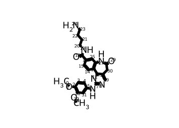 COc1ccc(Nc2ncc3c(n2)-c2ccc(C(=O)NCCCCN)cc2NC(=O)C3)cc1OC